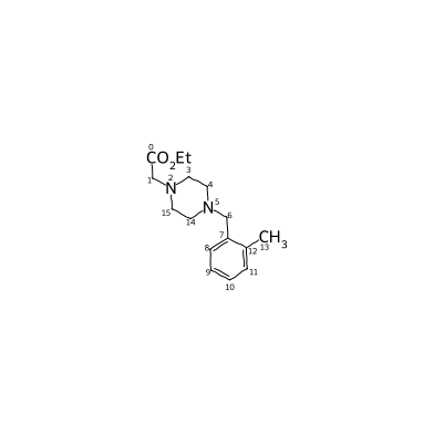 CCOC(=O)CN1CCN(Cc2ccccc2C)CC1